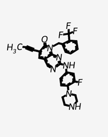 CC#Cc1cc2cnc(Nc3ccc(N4CCNCC4)c(F)c3)nc2n(Cc2ccccc2C(F)(F)F)c1=O